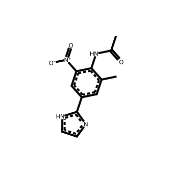 CC(=O)Nc1c(C)cc(-c2ncc[nH]2)cc1[N+](=O)[O-]